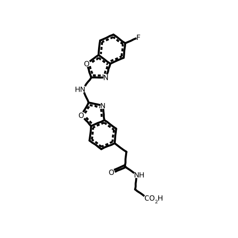 O=C(O)CNC(=O)Cc1ccc2oc(Nc3nc4cc(F)ccc4o3)nc2c1